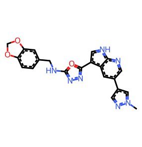 Cn1cc(-c2cnc3[nH]cc(-c4nnc(NCc5ccc6c(c5)OCO6)o4)c3c2)cn1